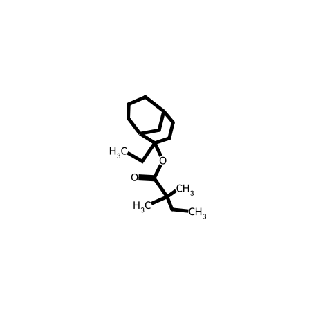 CCC(C)(C)C(=O)OC1(CC)CCC2CCCC1C2